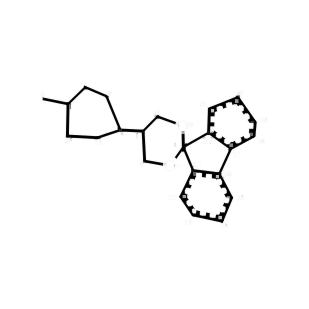 CC1CCC(C2COC3(OC2)c2ccccc2-c2ccccc23)CC1